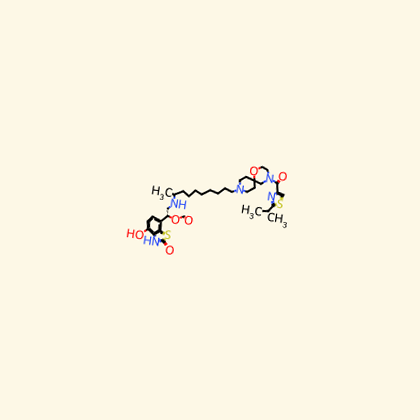 CC(CCCCCCCCN1CCC2(CC1)CN(C(=O)c1csc(C(C)C)n1)CCO2)NC[C@H](OC=O)c1ccc(O)c2[nH]c(=O)sc12